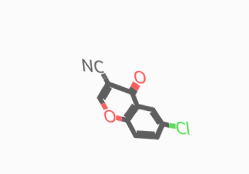 N#Cc1coc2ccc(Cl)cc2c1=O